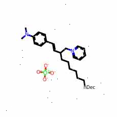 CCCCCCCCCCCCCCCCC(C=Cc1ccc(N(C)C)cc1)C[n+]1ccccc1.[O-][Cl+3]([O-])([O-])[O-]